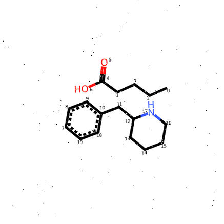 CCCCC(=O)O.c1ccc(CC2CCCCN2)cc1